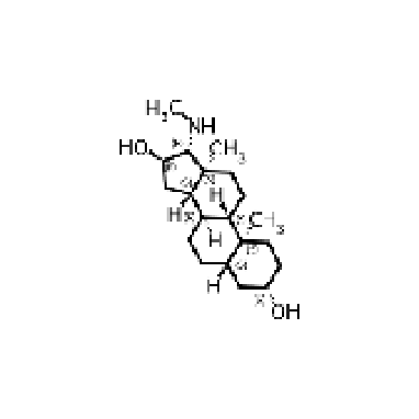 CN[C@H]1[C@H](O)C[C@H]2[C@@H]3CC[C@H]4C[C@@H](O)CC[C@]4(C)[C@H]3CC[C@@]21C